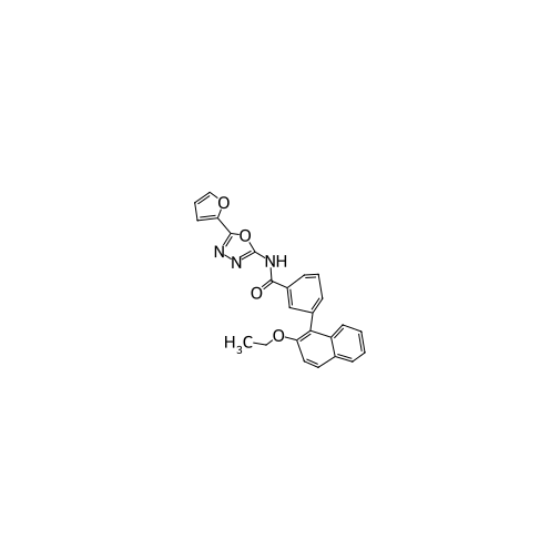 CCOc1ccc2ccccc2c1-c1cccc(C(=O)Nc2nnc(-c3ccco3)o2)c1